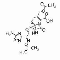 CC(=O)OCC1=C(C(=O)O)N2C(=O)[C@@H](NC(=O)C(=NOC(C)C)c3nsc(N)n3)[C@H]2SC1